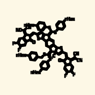 CCCCCCc1ccc(CS/C(Sc2ccc(CCCCCC)cc2)=C2\c3cc4c(cc3C3SC(/C=C5\C(=O)c6cc(F)c(F)cc6C5=C(C#N)C#N)=CC23C)C(=C(Sc2ccc(CCCCCC)cc2)Sc2ccc(CCCCCC)cc2)c2cc(/C=C3\C(=O)c5cc(F)c(F)cc5C3=C(C#N)C#N)sc2-4)cc1